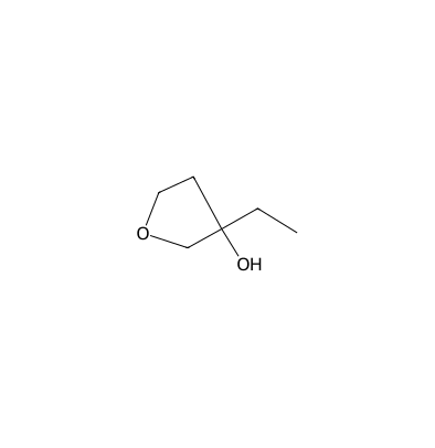 CCC1(O)CCOC1